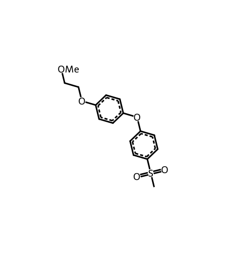 COCCOc1ccc(Oc2ccc(S(C)(=O)=O)cc2)cc1